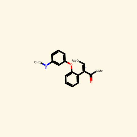 CO/C=C(/C(=O)OC)c1ccccc1Oc1cccc(NC=O)c1